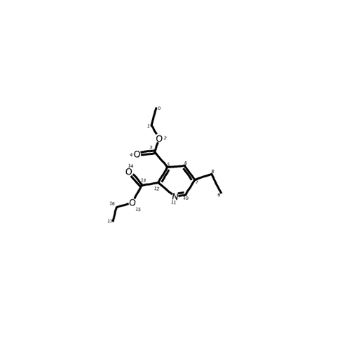 CCOC(=O)c1cc(CC)cnc1C(=O)OCC